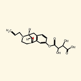 C=CCN1CC[C@]23CCCC[C@H]2[C@H]1Cc1ccc(OC(=O)C(O)C(O)C(=O)O)cc13